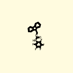 O=C(Nc1c(F)c(F)c(F)c(F)c1F)OCC1c2ccccc2-c2ccccc21